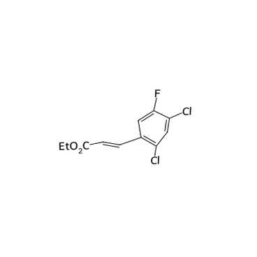 CCOC(=O)C=Cc1cc(F)c(Cl)cc1Cl